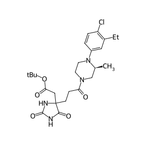 CCc1cc(N2CCN(C(=O)CCC3(CC(=O)OC(C)(C)C)NC(=O)NC3=O)C[C@@H]2C)ccc1Cl